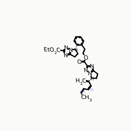 C=C(/C=C\C=C/C)[C@H]1CCc2nc(C(=O)OCCc3ccccc3[C@@H]3CCc4nc(C(=O)OCC)nn43)nn21